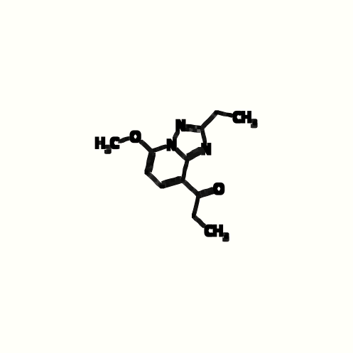 CCC(=O)c1ccc(OC)n2nc(CC)nc12